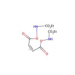 CCOC(=O)NOC(=O)/C=C\C(=O)ONC(=O)OCC